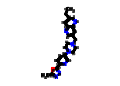 CCc1cnc2cc(CN3CCN(c4ccc(-c5nnc(C)o5)nc4)CC3)cnc2c1